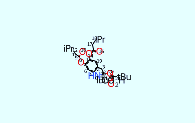 CCC(C)N[C@@](Cc1ccc(OC(=O)CC(C)C)c(OC(=O)CC(C)C)c1)(OC(=O)C(C)(C)C)C(=O)O